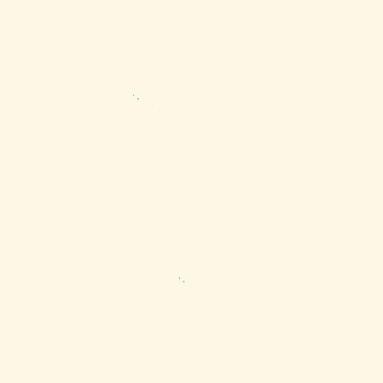 Cc1cc(N)ccc1C1C=CC(N)=CC1(C)c1ccccc1